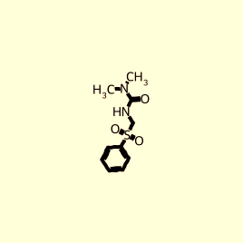 CN(C)C(=O)NCS(=O)(=O)c1ccccc1